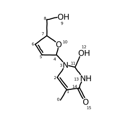 CC1=CN(C2C=CC(CO)O2)C(O)NC1=O